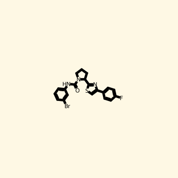 O=C(Nc1cccc(Br)c1)N1CCCC1c1nc(-c2ccc(F)cc2)cs1